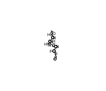 CC(C)(C)C(=O)Nc1cncc(-c2ccc3[nH]nc(-c4cc5c(-c6cc(F)cc(OCCN7CCCC7)c6)cncc5[nH]4)c3n2)c1